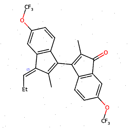 CC/C=C1\C(C)=C(C2=C(C)C(=O)c3cc(OC(F)(F)F)ccc32)c2ccc(OC(F)(F)F)cc21